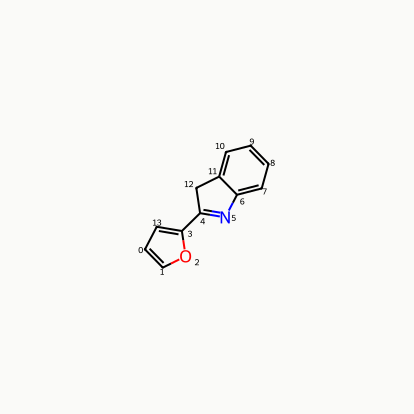 c1coc(C2=Nc3ccccc3C2)c1